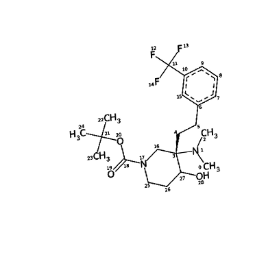 CN(C)[C@@]1(CCc2cccc(C(F)(F)F)c2)CN(C(=O)OC(C)(C)C)CCC1O